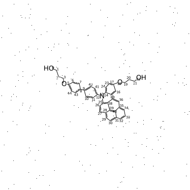 OCCCOc1ccc(-c2ccc(N(c3ccc(OCCCO)cc3)c3ccc4ccc5cccc6ccc3c4c56)cc2)cc1